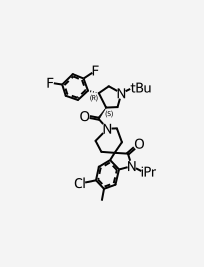 Cc1cc2c(cc1Cl)C1(CCN(C(=O)[C@@H]3CN(C(C)(C)C)C[C@H]3c3ccc(F)cc3F)CC1)C(=O)N2C(C)C